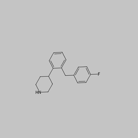 Fc1ccc(Cc2ccccc2C2CCNCC2)cc1